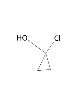 OC1(Cl)CC1